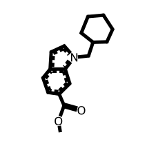 COC(=O)c1ccc2ccn(CC3CCCCC3)c2c1